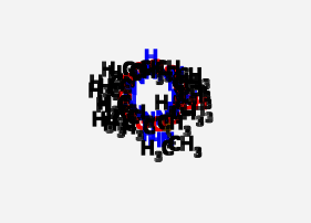 C/C=C/C[C@@H](C)C[C@@H]1C(=O)N[C@H](CC)C(=O)N(C)[C@H](CSCCCNC(C)C)C(=O)N(C)[C@@H](CC(C)(C)O)C(=O)N[C@H](C(C)C)C(=O)N(C)[C@H](CC(C)C)C(=O)N[C@H](C)C(=O)N[C@@H](C)C(=O)N(C)[C@@H](CC(C)C)C(=O)N(C)[C@H](CCC(C)C)C(=O)N(C)[C@H](C(C)C)C(=O)N1C